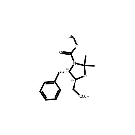 CC(C)(C)OC(=O)N1[C@@H](Cc2ccccc2)[C@H](CC(=O)O)OC1(C)C